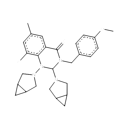 COc1ccc(CN2C(=O)c3cc(C)cc(Br)c3N(N3CC4CC4C3)C2N2CC3CC3C2)cc1